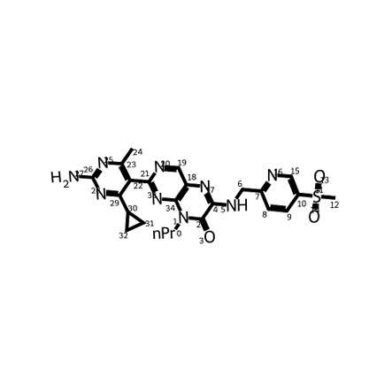 CCCn1c(=O)c(NCc2ccc(S(C)(=O)=O)cn2)nc2cnc(-c3c(C)nc(N)nc3C3CC3)nc21